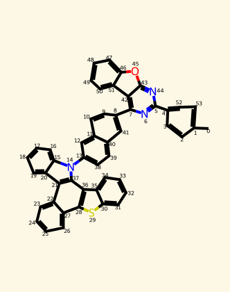 Cc1ccc(-c2nc(-c3ccc4cc(-n5c6ccccc6c6c7ccccc7c7sc8ccccc8c7c65)ccc4c3)c3c(n2)oc2ccccc23)cc1